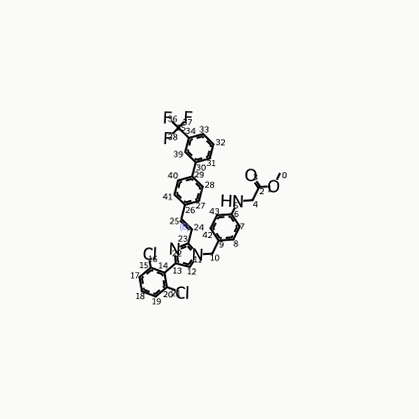 COC(=O)CNc1ccc(Cn2cc(-c3c(Cl)cccc3Cl)nc2/C=C/c2ccc(-c3cccc(C(F)(F)F)c3)cc2)cc1